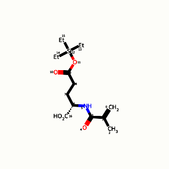 C=C(C)C(=O)N[C@@H](CCC(=O)O[Si](CC)(CC)CC)C(=O)O